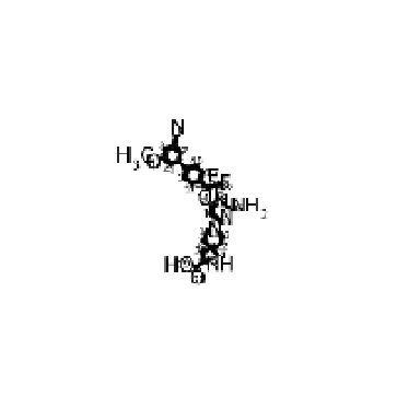 COc1cc(C#N)cc(-c2ccc([C@@H](Oc3cc(N4CCC5(CC4)CNC(C(=O)O)C5)nc(N)n3)C(F)(F)F)cc2)c1